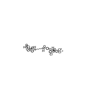 O=C1CCC(N2C(=O)c3cccc(NCCCCCCNC(=O)c4ccc(Oc5ccc(Cl)cc5NS(=O)(=O)c5ccc(Cl)c(C(F)(F)F)c5)cc4)c3C2=O)C(=O)N1